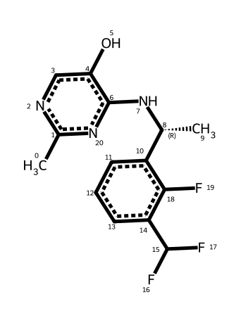 Cc1ncc(O)c(N[C@H](C)c2cccc(C(F)F)c2F)n1